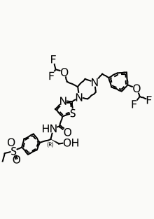 CCS(=O)(=O)c1ccc([C@H](CO)NC(=O)c2cnc(N3CCN(Cc4ccc(OC(F)F)cc4)CC3COC(F)F)s2)cc1